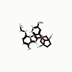 COc1cc(N2C[C@H]3CC[C@@H](C2)C3Nc2nc3c(C(C)C)ccc(OCC(F)(F)F)n3n2)cnn1